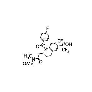 CON(C)C(=O)C[C@@H]1CCc2cc(C(O)(C(F)(F)F)C(F)(F)F)ccc2N1[S+]([O-])c1ccc(F)cc1